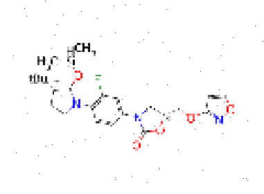 C[SiH](C)OC1[C@@H](C(C)(C)C)CCN1c1ccc(N2C[C@H](COc3ccon3)OC2=O)cc1F